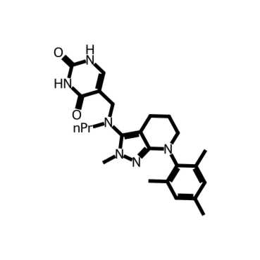 CCCN(Cc1c[nH]c(=O)[nH]c1=O)c1c2c(nn1C)N(c1c(C)cc(C)cc1C)CCC2